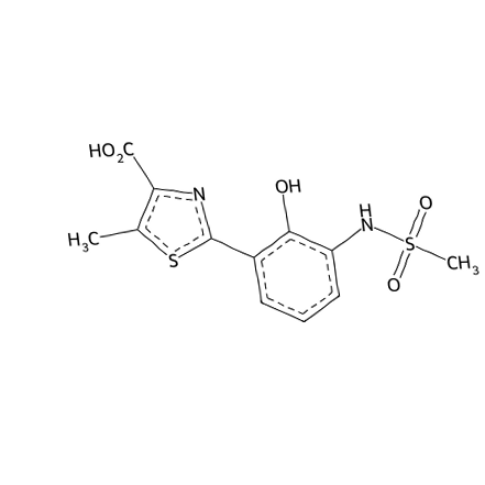 Cc1sc(-c2cccc(NS(C)(=O)=O)c2O)nc1C(=O)O